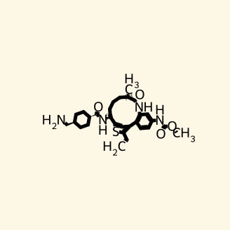 C=Cc1sc2cc1-c1ccc(NC(=O)OC)cc1NC(=O)[C@H](C)CCC[C@@H]2NC(=O)[C@H]1CC[C@H](CN)CC1